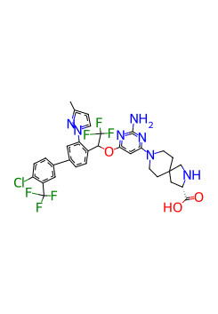 Cc1ccn(-c2cc(-c3ccc(Cl)c(C(F)(F)F)c3)ccc2C(Oc2cc(N3CCC4(CC3)CN[C@H](C(=O)O)C4)nc(N)n2)C(F)(F)F)n1